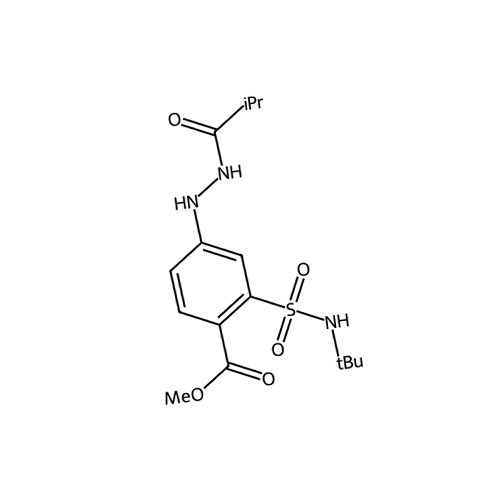 COC(=O)c1ccc(NNC(=O)C(C)C)cc1S(=O)(=O)NC(C)(C)C